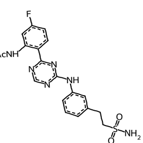 CC(=O)Nc1cc(F)ccc1-c1ncnc(Nc2cccc(CCS(N)(=O)=O)c2)n1